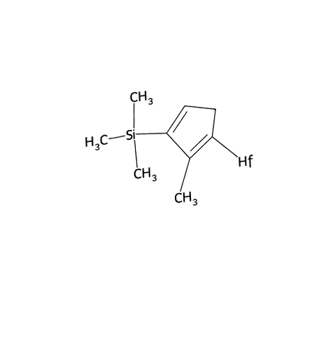 CC1=[C]([Hf])CC=C1[Si](C)(C)C